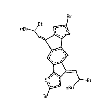 CCCCC(C=C1c2cc3c(cc2-c2sc(Br)cc21)C(=CC(CC)CCCC)c1cc(Br)sc1-3)CC